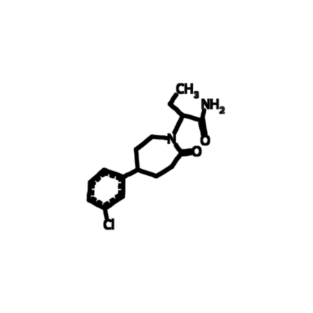 CCC(C(N)=O)N1CCC(c2cccc(Cl)c2)CCC1=O